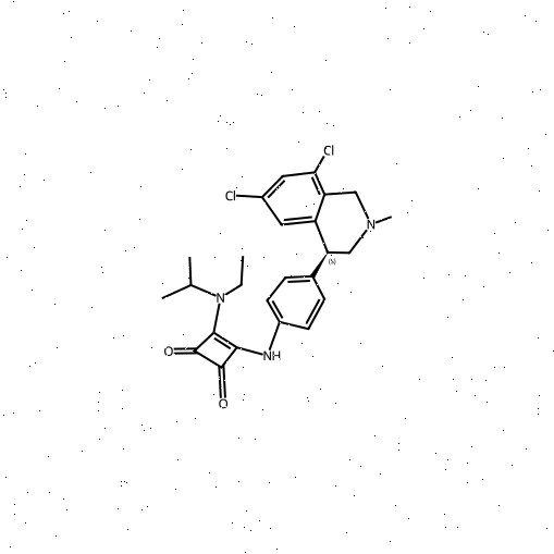 CCN(c1c(Nc2ccc([C@@H]3CN(C)Cc4c(Cl)cc(Cl)cc43)cc2)c(=O)c1=O)C(C)C